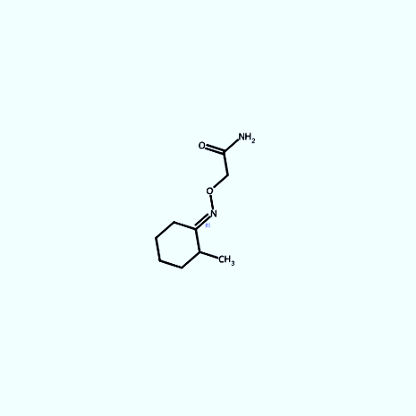 CC1CCCC/C1=N\OCC(N)=O